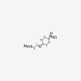 CCN[C@H]1CC[C@@H](OCCOC)CC1